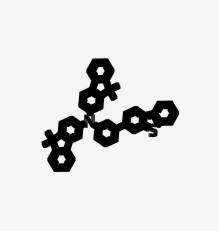 CC1(C)c2ccccc2-c2cc(N(c3cccc(-c4ccc5c(c4)sc4ccccc45)c3)c3ccc4c(c3)C(C)(C)c3ccccc3-4)ccc21